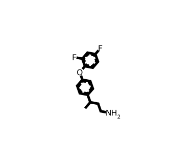 CC(CCN)c1ccc(Oc2ccc(F)cc2F)cc1